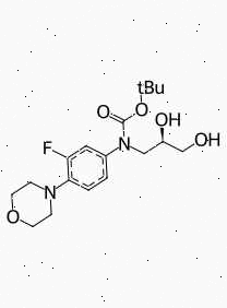 CC(C)(C)OC(=O)N(C[C@@H](O)CO)c1ccc(N2CCOCC2)c(F)c1